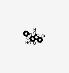 COc1cccc(-c2c(C(=O)O)c3nc4ccccc4oc-3c(O)c2=O)c1